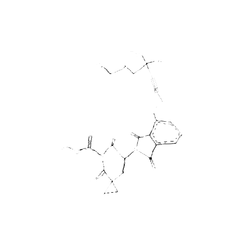 CC(O)(C#CCOc1cccc2c1C(=O)N(C1CC3(CC3)C(=O)N(C(=O)OC(C)(C)C)C1=O)C2=O)CCCCl